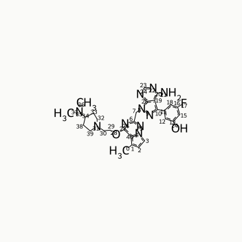 Cc1ccn2nc(Cn3nc(-c4cc(O)cc(F)c4)c4c(N)ncnc43)nc(OCCN3CCC(N(C)C)CC3)c12